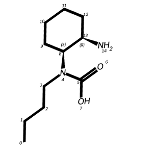 CCCCN(C(=O)O)[C@H]1CCCC[C@H]1N